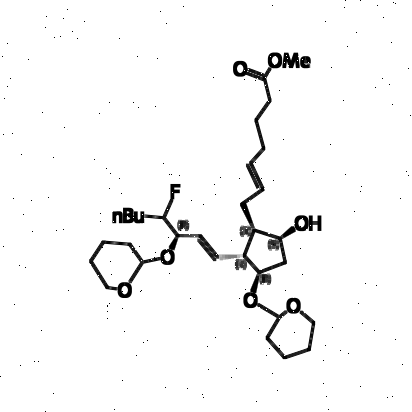 CCCCC(F)[C@@H](C=C[C@@H]1[C@@H](CC=CCCCC(=O)OC)[C@@H](O)C[C@H]1OC1CCCCO1)OC1CCCCO1